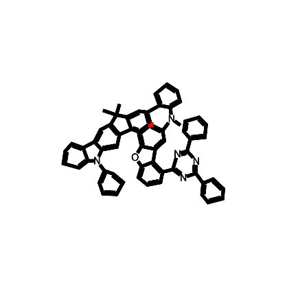 CN(c1ccc2oc3cccc(-c4nc(-c5ccccc5)nc(-c5ccccc5)n4)c3c2c1)c1ccccc1-c1ccc2c(c1)C(C)(C)c1cc3c4ccccc4n(-c4ccccc4)c3cc1-2